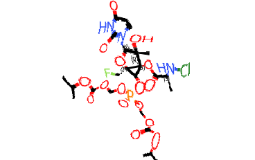 CC(C)OC(=O)OCOP(=O)(OCOC(=O)OC(C)C)OC1[C@]2(OC(=O)[C@H](C)NCl)[C@@](C)(O)[C@H](n3ccc(=O)[nH]c3=O)O[C@]12CF